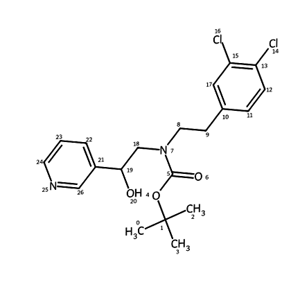 CC(C)(C)OC(=O)N(CCc1ccc(Cl)c(Cl)c1)CC(O)c1cccnc1